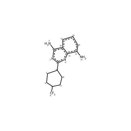 Nc1nc(C2CCC(C(F)(F)F)CC2)nc2c(N)cccc12